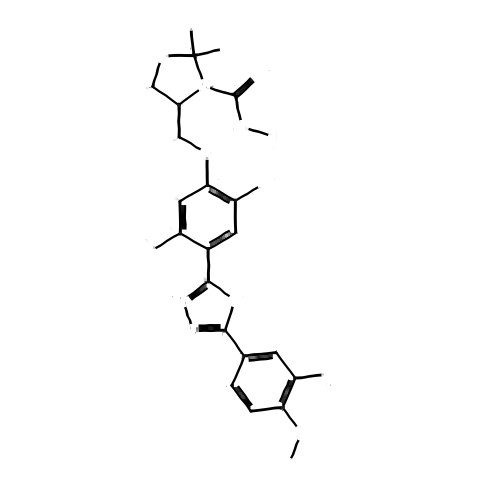 CC(C)Oc1ccc(-c2nnc(-c3cc(F)c(OCC4COC(C)(C)N4C(=O)OC(C)(C)C)cc3Cl)s2)cc1C(F)(F)F